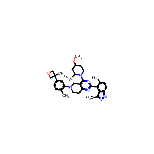 COC1CCN(c2nc(-c3c(C)ccc4[nH]nc(C)c34)nc3c2CN(c2cc(C4(C)COC4)ccc2C)CC3)C(C)C1